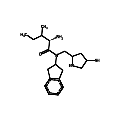 CCC(C)[C@H](N)C(=O)N(CC1CC(S)CN1)C1Cc2ccccc2C1